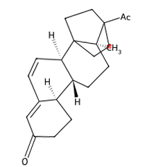 CC(=O)C12CCC3(CC1)[C@@H]1C=CC4=CC(=O)CC[C@@H]4[C@H]1CC[C@]23C